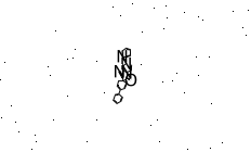 N#CC1(C(=O)N2CCN(c3ccccn3)CC2)C=CC(c2ccccc2)=CC1